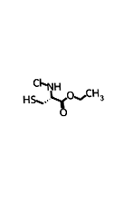 CCOC(=O)[C@H](CS)NCl